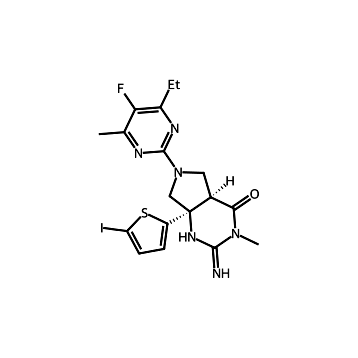 CCc1nc(N2C[C@H]3C(=O)N(C)C(=N)N[C@@]3(c3ccc(I)s3)C2)nc(C)c1F